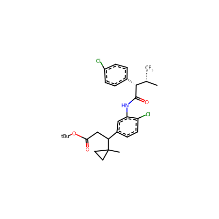 C[C@H]([C@H](C(=O)Nc1cc(C(CC(=O)OC(C)(C)C)C2(C)CC2)ccc1Cl)c1ccc(Cl)cc1)C(F)(F)F